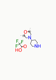 C[C@@H]1CN(C2CCNCC2)C[C@H](C)O1.O=C(O)C(F)(F)F